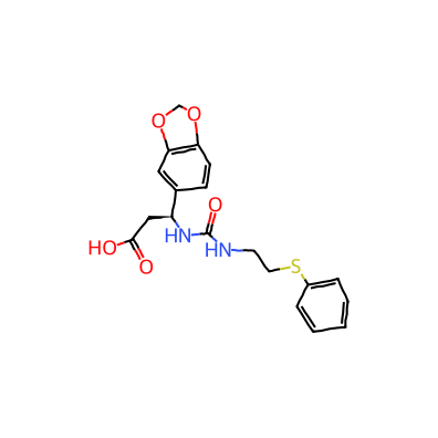 O=C(O)C[C@H](NC(=O)NCCSc1ccccc1)c1ccc2c(c1)OCO2